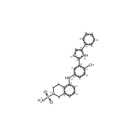 NS(=O)(=O)N1CCc2c(cccc2Nc2ccc(Cl)c(-c3ncc(-c4ccccc4)[nH]3)c2)C1